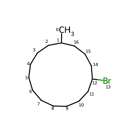 CC1CCCCCCCCCCC(Br)CCC1